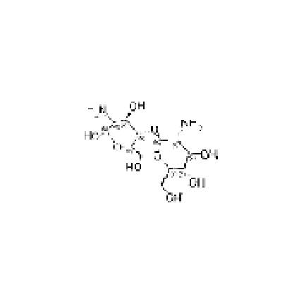 N[C@@H]1[C@@H](O)[C@H](O[C@@H]2O[C@H](CO)[C@@H](O)[C@H](O)[C@H]2N)[C@@H](CO)O[C@@H]1O